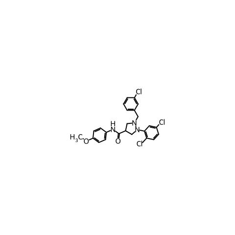 COc1ccc(NC(=O)C2CN(Cc3cccc(Cl)c3)N(c3cc(Cl)ccc3Cl)C2)cc1